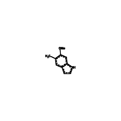 COc1cc2[nH]ccc2cc1C